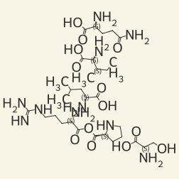 CC(C)C[C@H](N)C(=O)O.CC[C@H](C)[C@H](N)C(=O)O.N=C(N)NCCC[C@H](N)C(=O)OC(=O)[C@@H]1CCCN1.NC(=O)CC[C@H](N)C(=O)O.N[C@@H](CO)C(=O)O